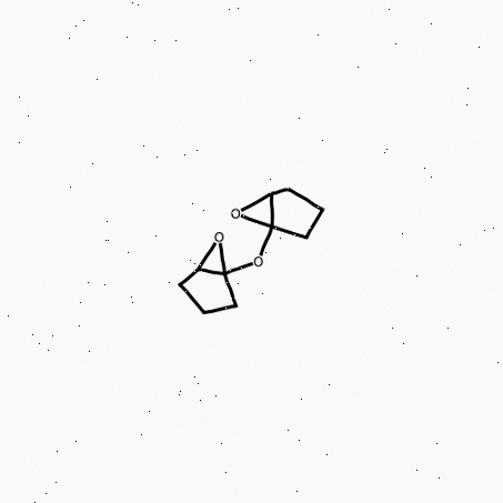 C1CC2OC2(OC23CCCC2O3)C1